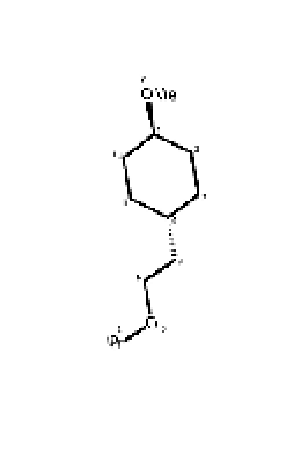 CO[C@H]1CC[C@H](CCOC(C)C)CC1